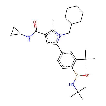 Cc1c(C(=O)NC2CC2)cc(-c2ccc([S+]([O-])NC(C)(C)C)c(C(C)(C)C)c2)n1CC1CCCCC1